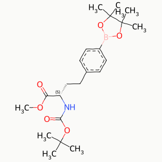 COC(=O)[C@H](CCc1ccc(B2OC(C)(C)C(C)(C)O2)cc1)NC(=O)OC(C)(C)C